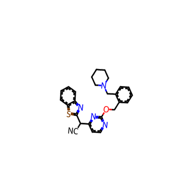 N#CC(c1ccnc(OCc2ccccc2CN2CCCCC2)n1)c1nc2ccccc2s1